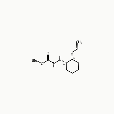 C=CC[C@@H]1CCCC[C@@H]1NNC(=O)OC(C)(C)C